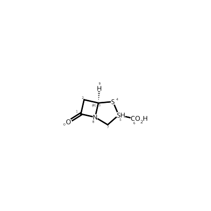 O=C1C[C@H]2S[SH](C(=O)O)CN12